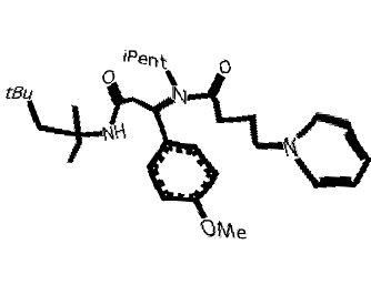 CCCC(C)N(C(=O)CCCN1C=CC=CC1)C(C(=O)NC(C)(C)CC(C)(C)C)c1ccc(OC)cc1